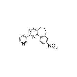 O=[N+]([O-])c1ccc2c(c1)CCCc1cnc(-c3cccnc3)nc1-2